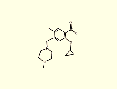 Cc1cc([N+](=O)[O-])c(OC2CC2)cc1CN1CCN(C)CC1